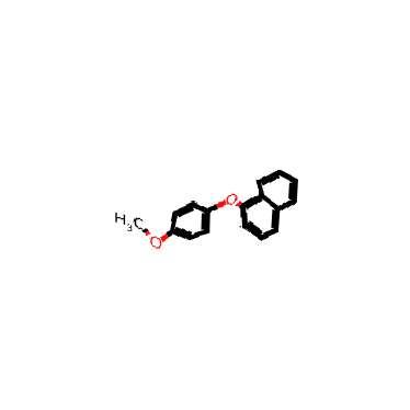 COc1ccc(Oc2[c]ccc3ccccc23)cc1